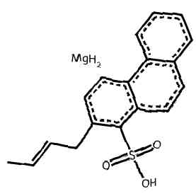 CC=CCc1ccc2c(ccc3ccccc32)c1S(=O)(=O)O.[MgH2]